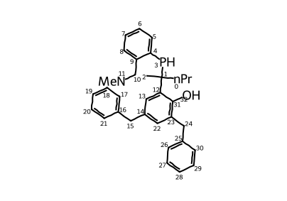 CCCC(C)(Pc1ccccc1CNC)c1cc(Cc2ccccc2)cc(Cc2ccccc2)c1O